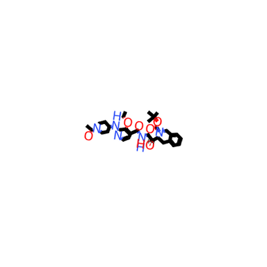 CCOc1c(C(=O)NC[C@@H](O)C2Cc3ccccc3CN2C(=O)OC(C)(C)C)ccnc1NC1CCN(C(C)=O)CC1